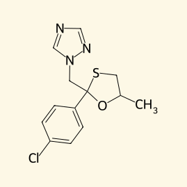 CC1CSC(Cn2cncn2)(c2ccc(Cl)cc2)O1